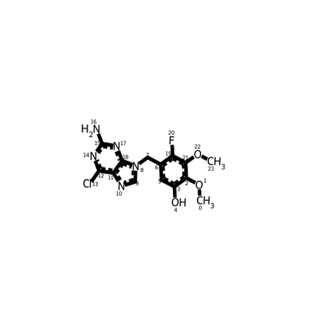 COc1c(O)cc(Cn2cnc3c(Cl)nc(N)nc32)c(F)c1OC